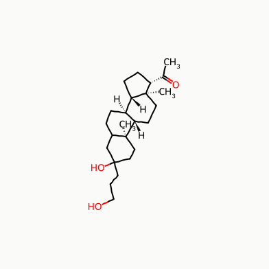 CC(=O)[C@H]1CC[C@H]2[C@@H]3CCC4CC(O)(CCCO)CC[C@]4(C)[C@H]3CC[C@]12C